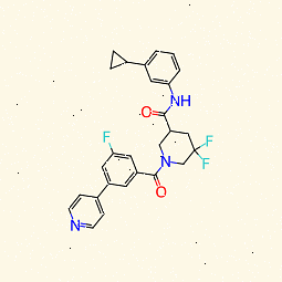 O=C(Nc1cccc(C2CC2)c1)C1CN(C(=O)c2cc(F)cc(-c3ccncc3)c2)CC(F)(F)C1